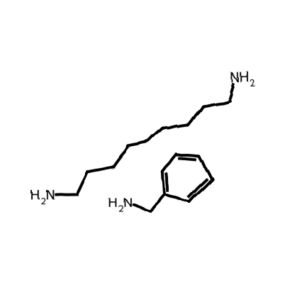 NCCCCCCCCCN.NCc1ccccc1